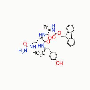 CC(C)[C@H](NC(=O)OCC1c2ccccc2-c2ccccc21)C(=O)N[C@@H](CCCNC(N)=O)C(=O)N[C@@H](Cc1ccc(O)cc1)C(=O)O